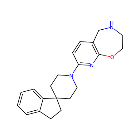 c1ccc2c(c1)CCC21CCN(c2ccc3c(n2)OCCNC3)CC1